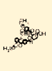 COCOc1ccc(C(=O)N[C@@H]2CN(C(=O)O)CCC[C@H]2OC(=O)c2ccc(C(=O)c3c(F)cccc3OCOC)cc2)cc1OC